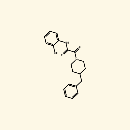 O=C(Nc1ccccc1O)C(=O)N1CCC(Cc2ccccc2)CC1